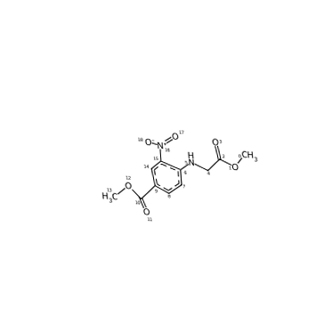 COC(=O)CNc1ccc(C(=O)OC)cc1[N+](=O)[O-]